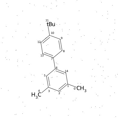 Cc1[c]c(C)cc(-c2ccc(C(C)(C)C)cc2)c1